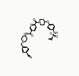 N#Cc1ccc(CN2CCC(NC(=O)c3ccc(C(=O)N4CCC(Oc5ccc(NS(=O)(=O)C6CC6)cc5)CC4)nc3)CC2)cc1